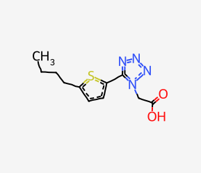 CCCCc1ccc(-c2nnnn2CC(=O)O)s1